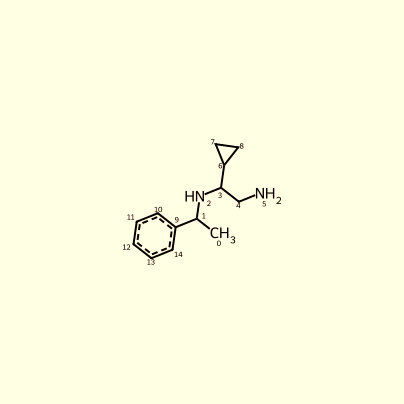 CC(NC(CN)C1CC1)c1ccccc1